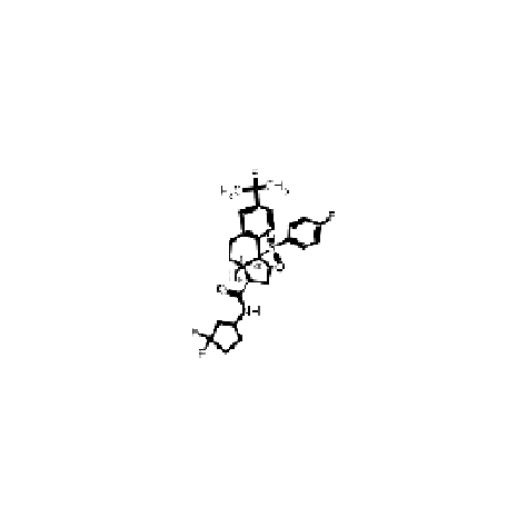 CC(F)(c1ccc2c(c1)CC[C@H]1[C@H](C(=O)NC3CCC(F)(F)C3)CC[C@@]21S(=O)(=O)c1ccc(F)cc1)C(F)(F)F